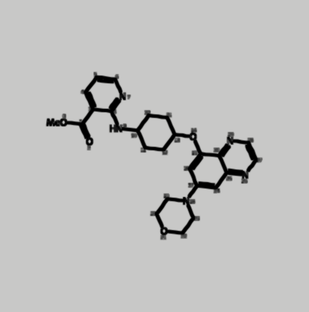 COC(=O)c1cccnc1NC1CCC(Oc2cc(N3CCOCC3)cc3nccnc23)CC1